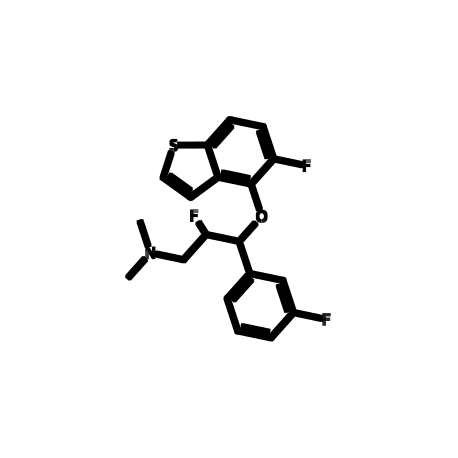 CN(C)CC(F)C(Oc1c(F)ccc2sccc12)c1cccc(F)c1